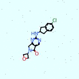 O=C1c2cnc(NC3Cc4ccc(Cl)cc4C3)nc2CN1C1COC1